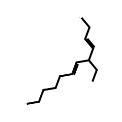 [CH2]CC=CC(C=CCCCC[CH2])CC